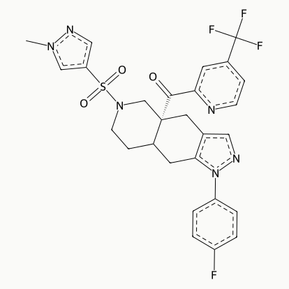 Cn1cc(S(=O)(=O)N2CCC3Cc4c(cnn4-c4ccc(F)cc4)C[C@]3(C(=O)c3cc(C(F)(F)F)ccn3)C2)cn1